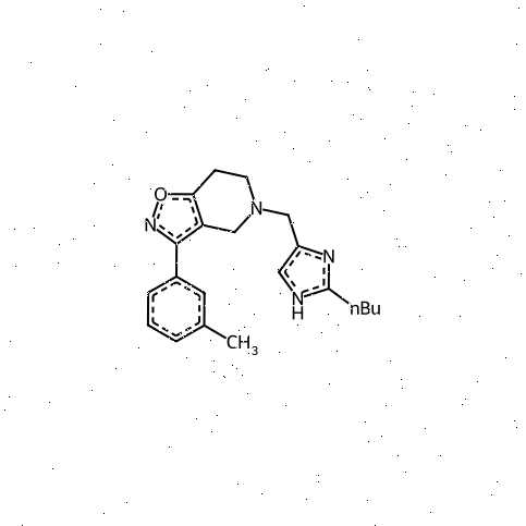 CCCCc1nc(CN2CCc3onc(-c4cccc(C)c4)c3C2)c[nH]1